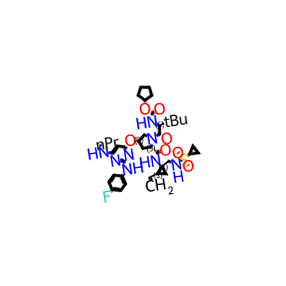 C=C[C@@H]1C[C@@]1(CNS(=O)(=O)C1CC1)NC(=O)[C@@H]1C[C@@H](Oc2cc(NCCC)nc(Nc3ccc(F)cc3)n2)CN1C(=O)[C@@H](NC(=O)OC1CCCC1)C(C)(C)C